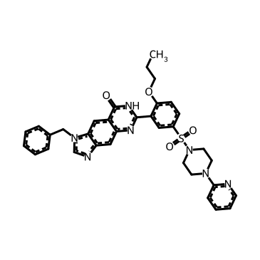 CCCOc1ccc(S(=O)(=O)N2CCN(c3ccccn3)CC2)cc1-c1nc2cc3ncn(Cc4ccccc4)c3cc2c(=O)[nH]1